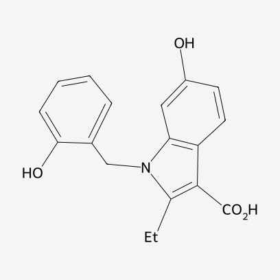 CCc1c(C(=O)O)c2ccc(O)cc2n1Cc1ccccc1O